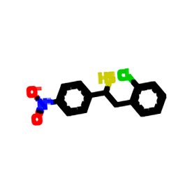 O=[N+]([O-])c1ccc(C(S)Cc2ccccc2Cl)cc1